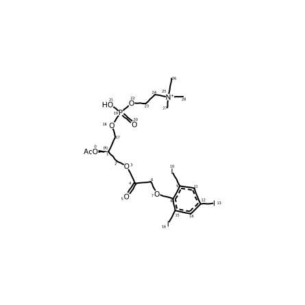 CC(=O)O[C@H](COC(=O)COc1c(I)cc(I)cc1I)COP(=O)(O)OCC[N+](C)(C)C